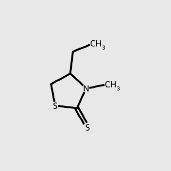 CCC1CSC(=S)N1C